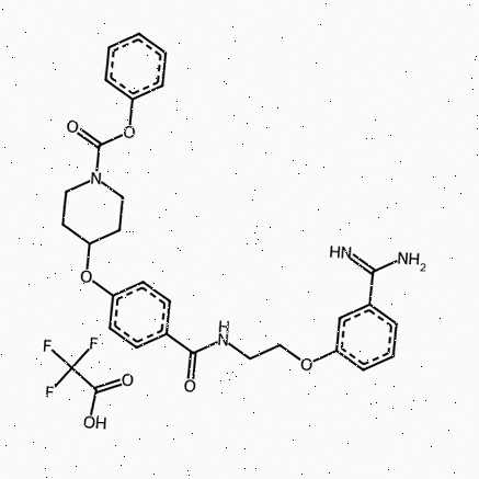 N=C(N)c1cccc(OCCNC(=O)c2ccc(OC3CCN(C(=O)Oc4ccccc4)CC3)cc2)c1.O=C(O)C(F)(F)F